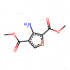 COC(=O)c1csc(C(=O)OC)c1N